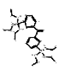 C=C(c1cccc([Si](OCC)(OCC)OCC)c1)c1cccc([Si](OCC)(OCC)OCC)c1